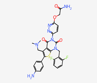 CN(C)Cc1c(-c2ccc(N)cc2)sc2c1c(=O)n(-c1ccc(OCC(N)=O)nn1)c(=O)n2Cc1c(F)cccc1F